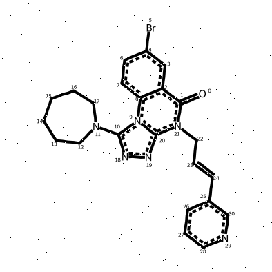 O=c1c2cc(Br)ccc2n2c(N3CCCCCC3)nnc2n1CC=Cc1cccnc1